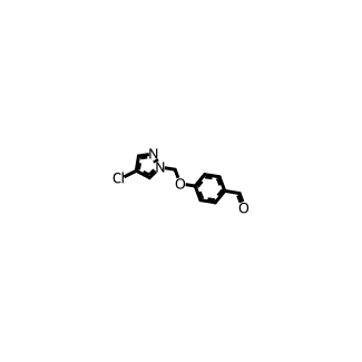 O=Cc1ccc(OCn2cc(Cl)cn2)cc1